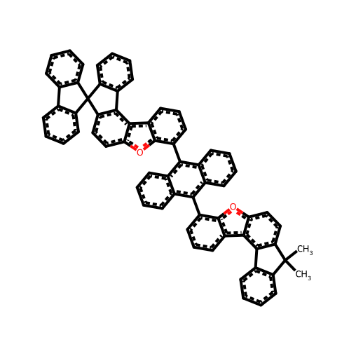 CC1(C)c2ccccc2-c2c1ccc1oc3c(-c4c5ccccc5c(-c5cccc6c5oc5ccc7c(c56)-c5ccccc5C75c6ccccc6-c6ccccc65)c5ccccc45)cccc3c21